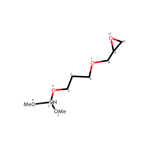 CO[SiH](OC)OCCCOCC1CO1